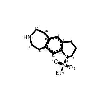 CCS(=O)(=O)N1CCCc2cc3c(cc21)CCNCC3